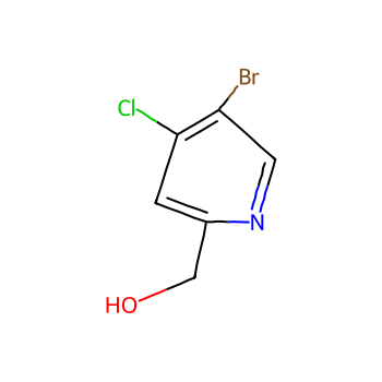 OCc1cc(Cl)c(Br)cn1